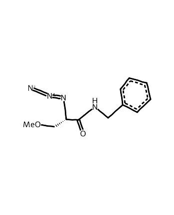 COC[C@H](N=[N+]=[N-])C(=O)NCc1ccccc1